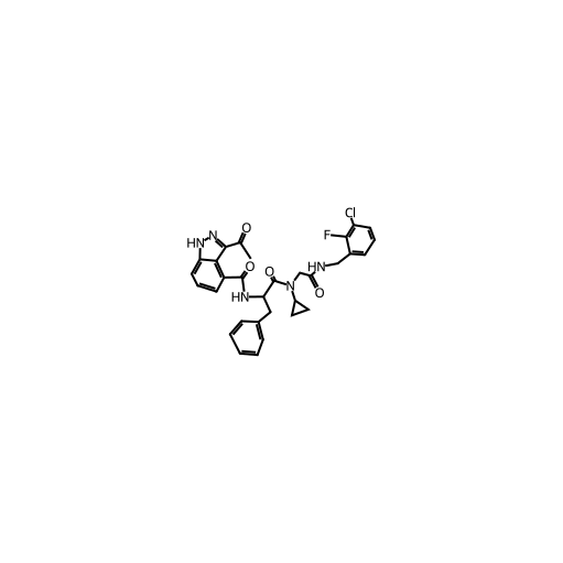 CC(=O)c1n[nH]c2cccc(C(=O)NC(Cc3ccccc3)C(=O)N(CC(=O)NCc3cccc(Cl)c3F)C3CC3)c12